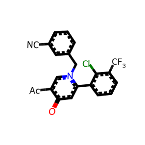 CC(=O)c1cn(Cc2cccc(C#N)c2)c(-c2cccc(C(F)(F)F)c2Cl)cc1=O